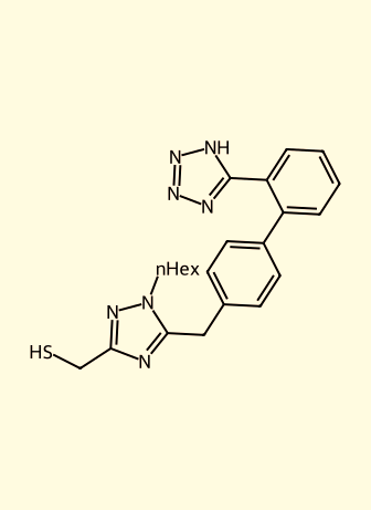 CCCCCCn1nc(CS)nc1Cc1ccc(-c2ccccc2-c2nnn[nH]2)cc1